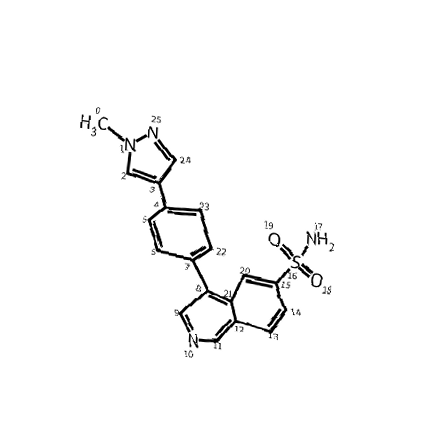 Cn1cc(-c2ccc(-c3cncc4ccc(S(N)(=O)=O)cc34)cc2)cn1